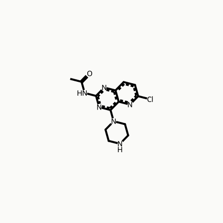 CC(=O)Nc1nc(N2CCNCC2)c2nc(Cl)ccc2n1